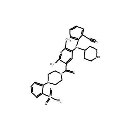 Cc1nc(C)c(N(c2ccccc2C#N)C2CCNCC2)cc1C(=O)N1CCN(c2ccccc2S(N)(=O)=O)CC1